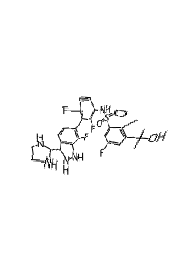 Cc1c(C(C)(C)O)cc(F)cc1S(=O)(=O)Nc1ccc(F)c(-c2ccc3c(c2F)NNC3C2NCCN2)c1F